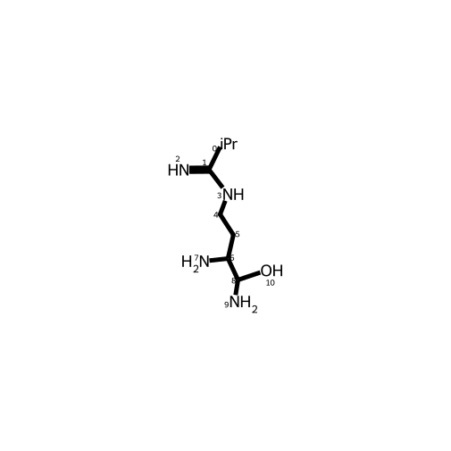 CC(C)C(=N)NCCC(N)C(N)O